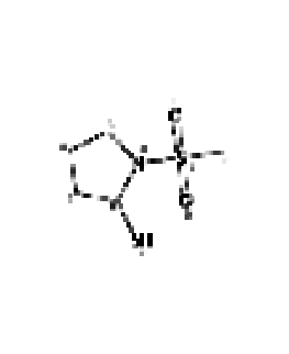 CS(=O)(=O)N1CCCC1S